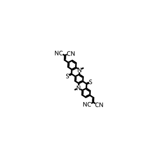 Cn1c2ccc(C=C(C#N)C#N)cc2c(=S)c2cc3c(cc21)c(=S)c1cc(C=C(C#N)C#N)ccc1n3C